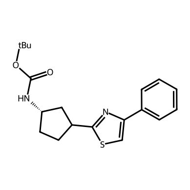 CC(C)(C)OC(=O)N[C@H]1CCC(c2nc(-c3ccccc3)cs2)C1